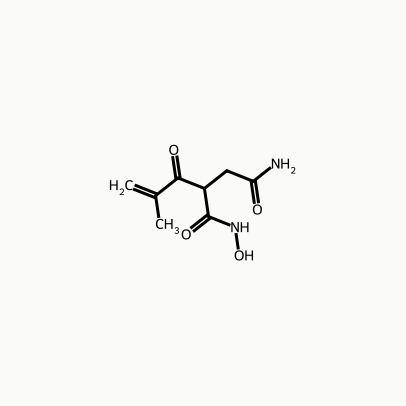 C=C(C)C(=O)C(CC(N)=O)C(=O)NO